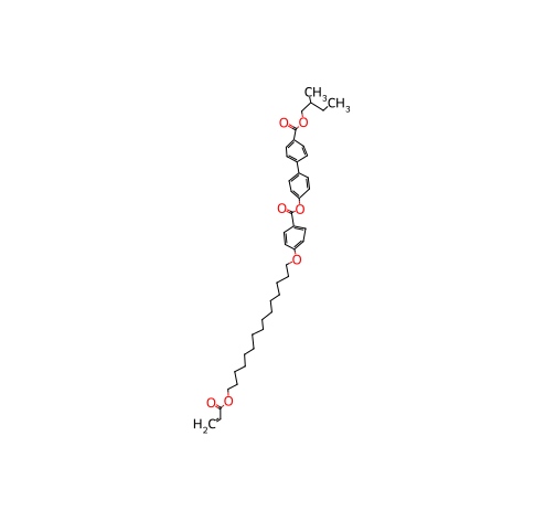 C=CC(=O)OCCCCCCCCCCCCCCCOc1ccc(C(=O)Oc2ccc(-c3ccc(C(=O)OCC(C)CC)cc3)cc2)cc1